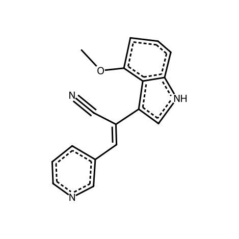 COc1cccc2[nH]cc(C(C#N)=Cc3cccnc3)c12